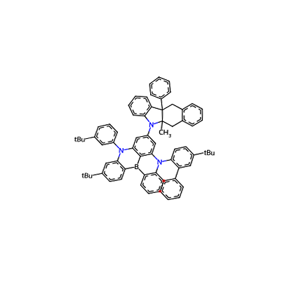 CC(C)(C)c1cccc(N2c3cc(C(C)(C)C)ccc3B3c4ccccc4N(c4ccc(C(C)(C)C)cc4-c4ccccc4)c4cc(N5c6ccccc6C6(c7ccccc7)Cc7ccccc7CC56C)cc2c43)c1